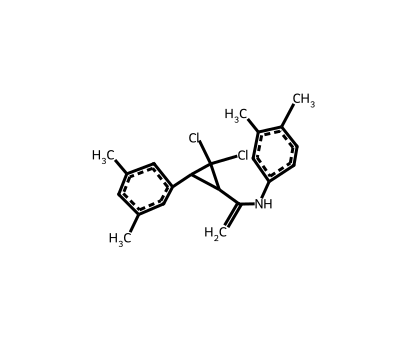 C=C(Nc1ccc(C)c(C)c1)C1C(c2cc(C)cc(C)c2)C1(Cl)Cl